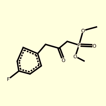 COP(=O)(CC(=O)Cc1ccc(F)cc1)OC